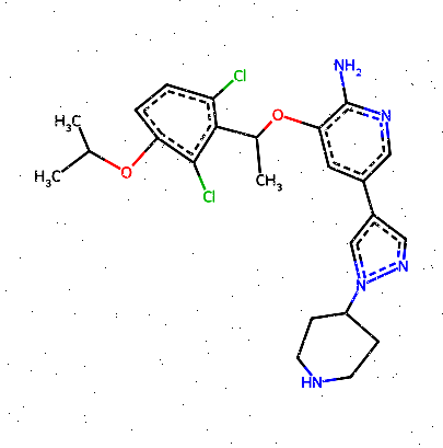 CC(C)Oc1ccc(Cl)c(C(C)Oc2cc(-c3cnn(C4CCNCC4)c3)cnc2N)c1Cl